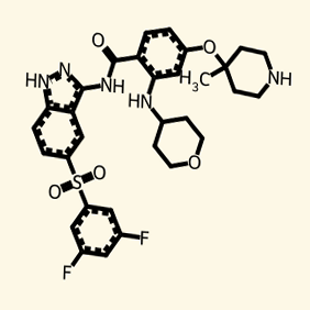 CC1(Oc2ccc(C(=O)Nc3n[nH]c4ccc(S(=O)(=O)c5cc(F)cc(F)c5)cc34)c(NC3CCOCC3)c2)CCNCC1